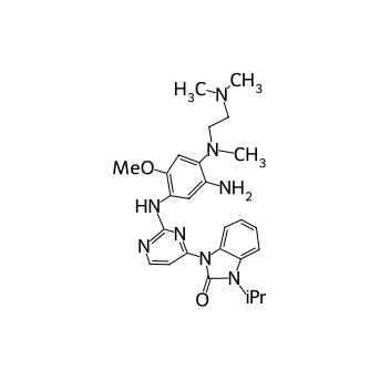 COc1cc(N(C)CCN(C)C)c(N)cc1Nc1nccc(-n2c(=O)n(C(C)C)c3ccccc32)n1